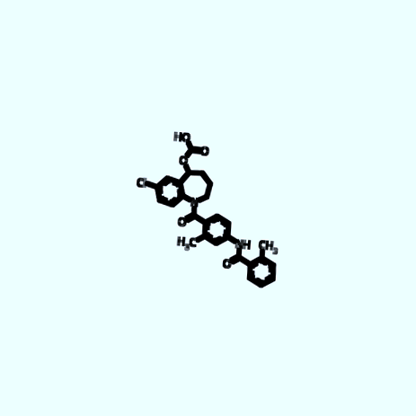 Cc1ccccc1C(=O)Nc1ccc(C(=O)N2CCCC(OC(=O)O)c3cc(Cl)ccc32)c(C)c1